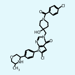 CC1COCC(c2ccc(-n3c(Cl)cc4c(=O)n(CC5(O)CCN(C(=O)c6ccc(Cl)cc6)CC5)cnc43)cc2)N1